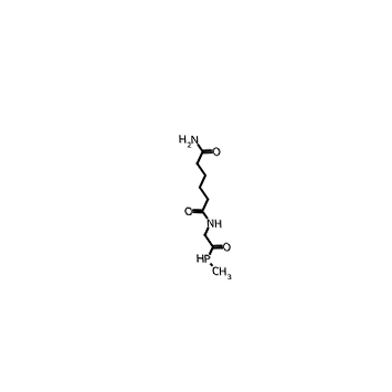 CPC(=O)CNC(=O)CCCCC(N)=O